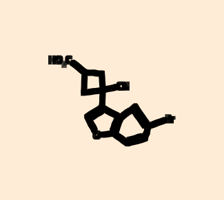 N#CC1(c2coc3ccc(Br)cc23)CC(C(=O)O)C1